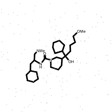 CNCC(CC1CCCCC1)NC(=O)N1CCCC(C(O)(CCCCOC)C2CCCCC2)C1